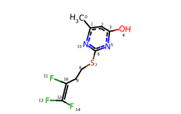 Cc1cc(O)nc(SCCC(F)=C(F)F)n1